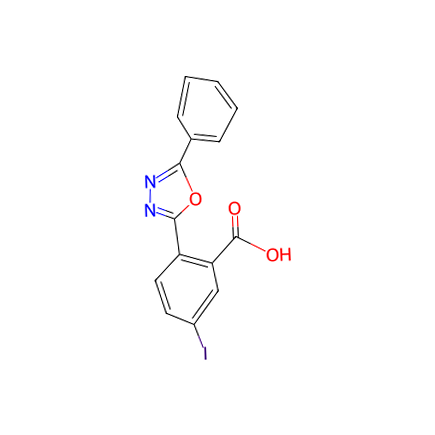 O=C(O)c1cc(I)ccc1-c1nnc(-c2ccccc2)o1